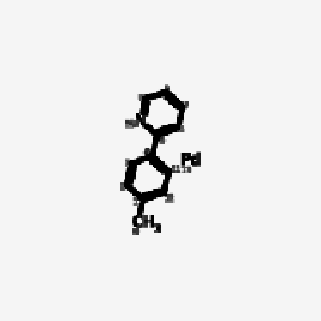 Cc1ccc(-c2ccccn2)cc1.[Pd]